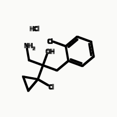 Cl.NCC(O)(Cc1ccccc1Cl)C1(Cl)CC1